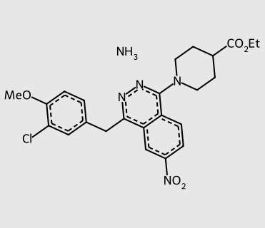 CCOC(=O)C1CCN(c2nnc(Cc3ccc(OC)c(Cl)c3)c3cc([N+](=O)[O-])ccc23)CC1.N